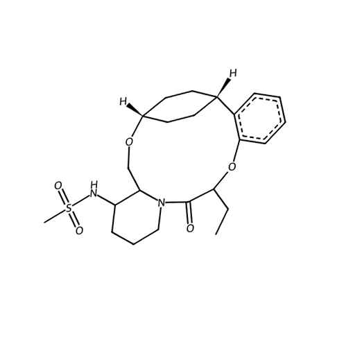 CCC1Oc2ccccc2[C@H]2CC[C@H](CC2)OCC2C(NS(C)(=O)=O)CCCN2C1=O